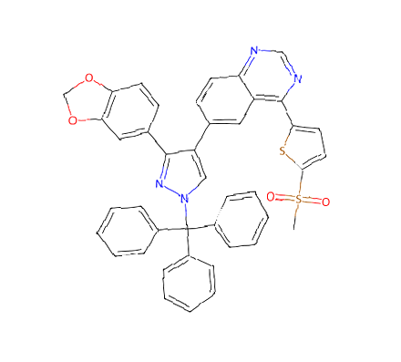 CS(=O)(=O)c1ccc(-c2ncnc3ccc(-c4cn(C(c5ccccc5)(c5ccccc5)c5ccccc5)nc4-c4ccc5c(c4)OCO5)cc23)s1